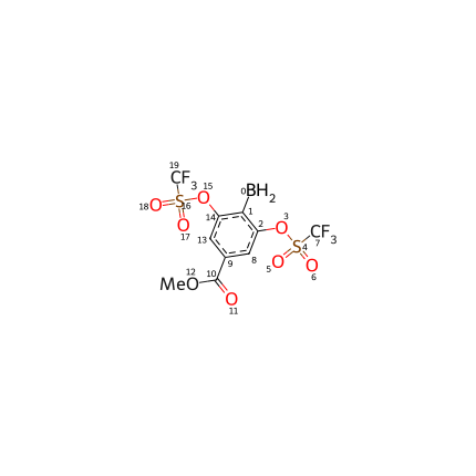 Bc1c(OS(=O)(=O)C(F)(F)F)cc(C(=O)OC)cc1OS(=O)(=O)C(F)(F)F